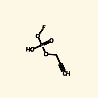 C#CCOP(=O)(O)OF